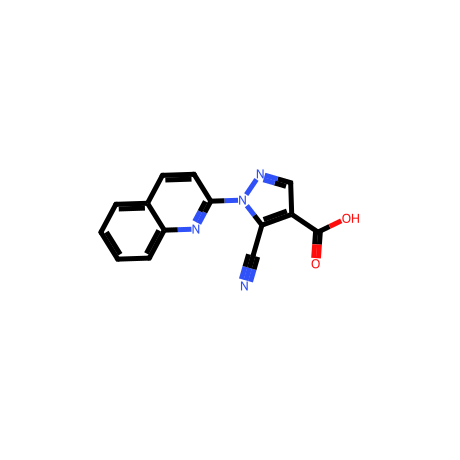 N#Cc1c(C(=O)O)cnn1-c1ccc2ccccc2n1